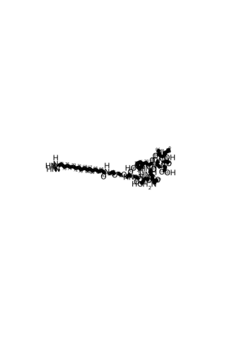 CCCCC(NC(=O)C(CN(CC(=O)O)CC(=O)O)NC(=O)C(Cc1ccc(O)cc1)NC(=O)C(CCC(N)=O)NC(=O)C(CO)NC(=O)CNC(=O)COCCOCCNC(=O)CCCCCCCCCCCCCCCC1=NNNN1)C(=O)NC